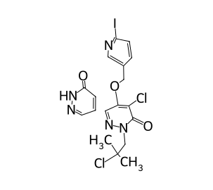 CC(C)(Cl)Cn1ncc(OCc2ccc(I)nc2)c(Cl)c1=O.O=c1cccn[nH]1